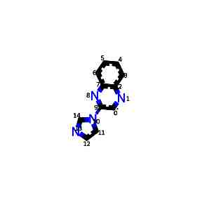 [c]1nc2ccccc2nc1-n1ccnc1